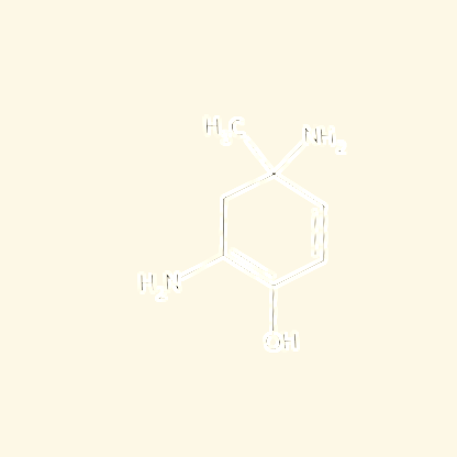 CC1(N)C=CC(O)=C(N)C1